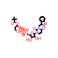 CC(C)(C)C(=O)OC1CCOP(=O)(OP(=O)(O)OC[C@H]2O[C@@H](n3ccc(=O)n(Cc4noc5ccccc45)c3=O)[C@@H](O)C2O)O1